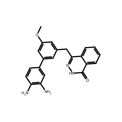 COc1cc(Cc2n[nH]c(=O)c3ccccc23)cc(-c2ccc(N)c(N)c2)c1